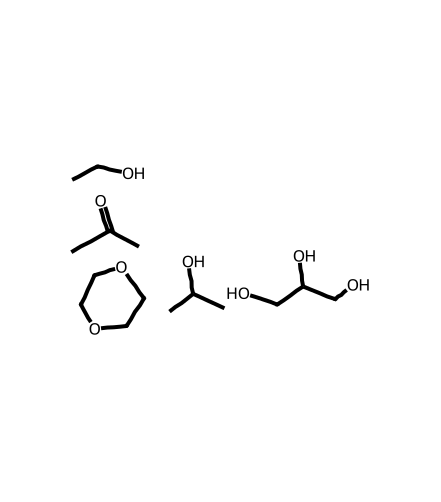 C1COCCO1.CC(C)=O.CC(C)O.CCO.OCC(O)CO